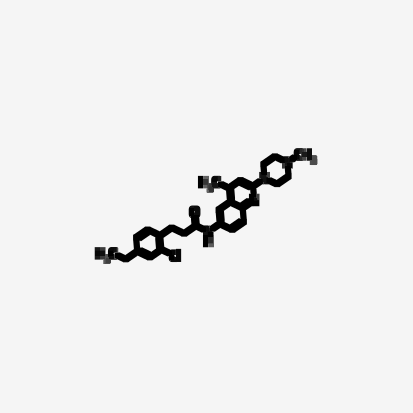 CCc1ccc(CCC(=O)Nc2ccc3nc(N4CCN(C)CC4)cc(C)c3c2)c(Cl)c1